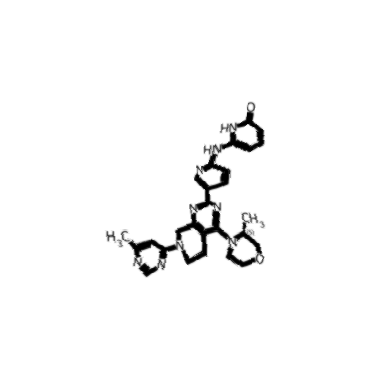 Cc1cc(N2CCc3c(nc(-c4ccc(Nc5cccc(=O)[nH]5)nc4)nc3N3CCOC[C@@H]3C)C2)ncn1